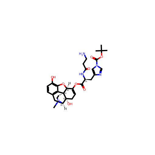 CN1CC[C@]23c4c5ccc(O)c4O[C@H]2C(OC(=O)[C@H](Cc2cn(C(=O)OC(C)(C)C)cn2)NC(=O)CCN)=CC[C@@]3(O)[C@H]1C5